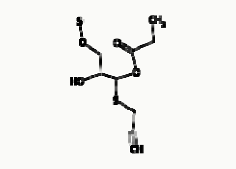 C#CCSC(OC(=O)CC)C(O)CO[S]